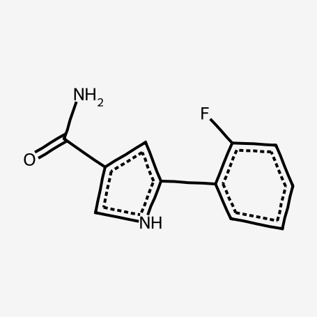 NC(=O)c1c[nH]c(-c2ccccc2F)c1